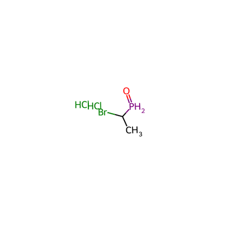 CC(Br)[PH2]=O.Cl.Cl